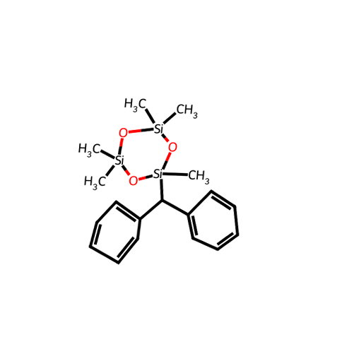 C[Si]1(C)O[Si](C)(C)O[Si](C)(C(c2ccccc2)c2ccccc2)O1